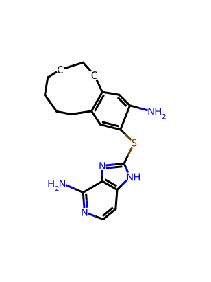 Nc1cc2c(cc1Sc1nc3c(N)nccc3[nH]1)CCCCCCC2